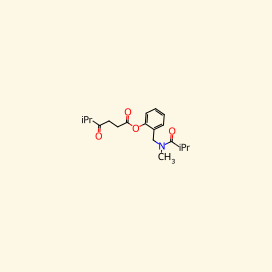 CC(C)C(=O)CCC(=O)Oc1ccccc1CN(C)C(=O)C(C)C